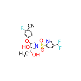 C[C@@H](O)[C@]1(O)CN(S(=O)(=O)c2ccc(C(F)F)cn2)C[C@@H]1Oc1ccc(C#N)c(F)c1